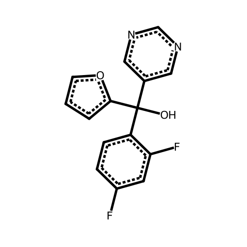 OC(c1cncnc1)(c1ccco1)c1ccc(F)cc1F